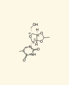 Cc1cn([C@@H]2O[C@H](CO)[C@H]3OC(C)O[C@@H]32)c(=O)[nH]c1=O